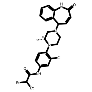 CCC(CC)C(=O)Nc1ccc(N2CCN(C3C=CC(=O)Nc4ccccc43)C[C@H]2C)c(Cl)c1